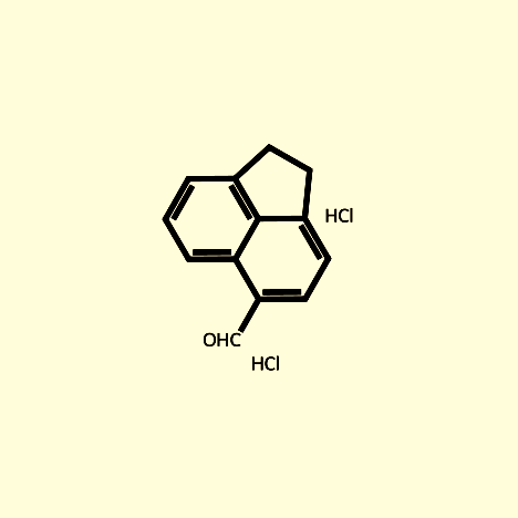 Cl.Cl.O=Cc1ccc2c3c(cccc13)CC2